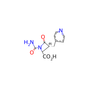 NC(=O)N1C(=O)[C@H](Cc2ccncc2)C1C(=O)O